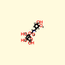 COc1cc(/C=C/C(=O)O[C@@H]2C(O)C[C@]3(O)CC2OC3O)ccc1O